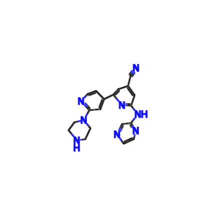 N#Cc1cc(Nc2cnccn2)nc(-c2ccnc(N3CCNCC3)c2)c1